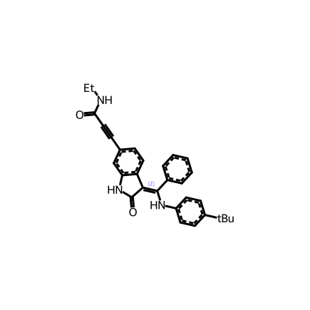 CCNC(=O)C#Cc1ccc2c(c1)NC(=O)/C2=C(\Nc1ccc(C(C)(C)C)cc1)c1ccccc1